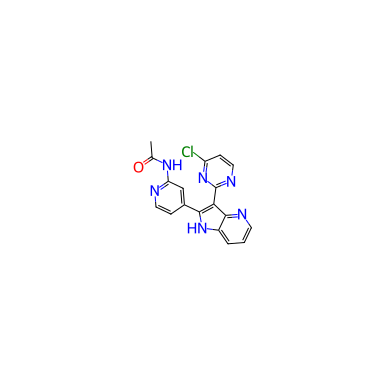 CC(=O)Nc1cc(-c2[nH]c3cccnc3c2-c2nccc(Cl)n2)ccn1